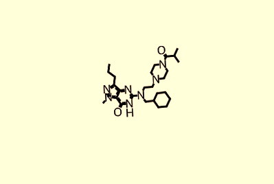 CCCc1nn(C)c2c(=O)[nH]c(N(CCN3CCN(C(=O)C(C)C)CC3)CC3CCCCC3)nc12